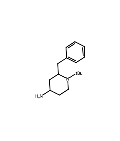 CC(C)(C)N1CCC(N)CC1Cc1ccccc1